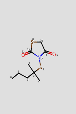 CCCC(C)(C)SN1C(=O)CSC1=O